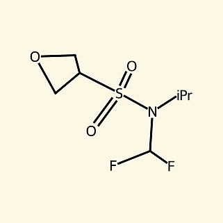 CC(C)N(C(F)F)S(=O)(=O)C1COC1